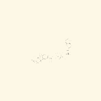 O=C1CCC(N2C(=O)c3ccc(NCCNC(=O)N4CCC(n5cc(-c6cnc7ccccc7n6)cn5)CC4)cc3C2=O)C(=O)N1